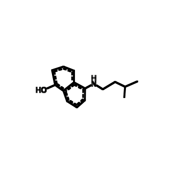 CC(C)CCNc1cccc2c(O)cccc12